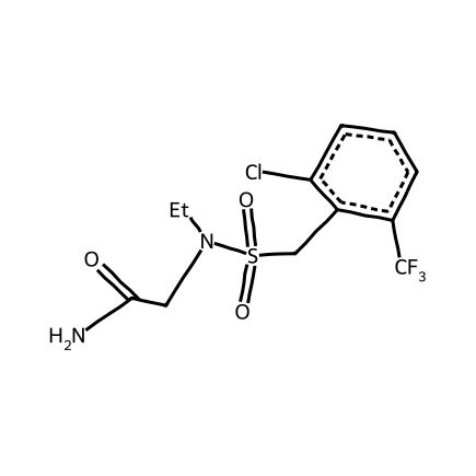 CCN(CC(N)=O)S(=O)(=O)Cc1c(Cl)cccc1C(F)(F)F